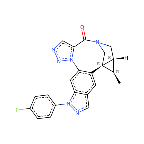 C[C@@H]1[C@H]2CN3C[C@@]12c1cc2cnn(-c4ccc(F)cc4)c2cc1-n1nncc1C3=O